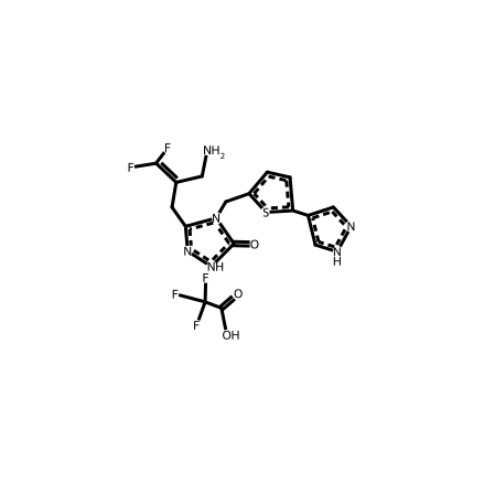 NCC(Cc1n[nH]c(=O)n1Cc1ccc(-c2cn[nH]c2)s1)=C(F)F.O=C(O)C(F)(F)F